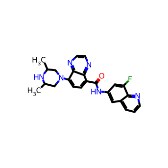 CC1CN(c2ccc(C(=O)Nc3cc(F)c4ncccc4c3)c3nccnc23)CC(C)N1